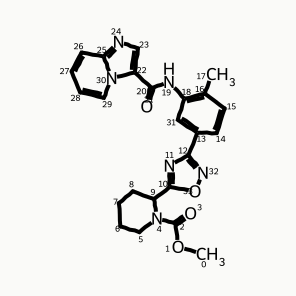 COC(=O)N1CCCCC1c1nc(-c2ccc(C)c(NC(=O)c3cnc4ccccn34)c2)no1